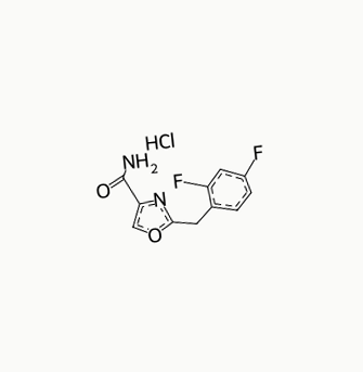 Cl.NC(=O)c1coc(Cc2ccc(F)cc2F)n1